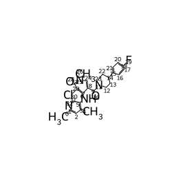 Cc1cc(C)c(Nc2c(C(=O)N3CCC(c4ccc(F)cc4)CC3)cn(C)c(=O)c2Cl)cn1